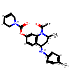 CCC(=O)N1c2cc(OC(=O)N3CC=CCC3)ccc2C(Nc2ccc([N+](=O)[O-])cc2)CC1C